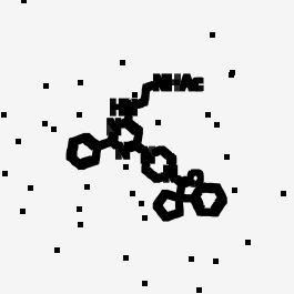 CC(=O)NCCNc1cc(N2CCN(C(=O)C3(c4ccccc4)CCCC3)CC2)nc(-c2ccccc2)n1